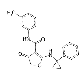 O=C1COC(NC2(c3ccccc3)CC2)=C1C(=O)Nc1cccc(C(F)(F)F)c1